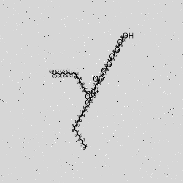 CCCCCCCC/C=C\CCCCCCCCCOCC(C[N+](C)(C)CCCCC(=O)OCCOCCOCCOCCOCCOCCO)OCCCCCCCC/C=C\CCCCCCCC